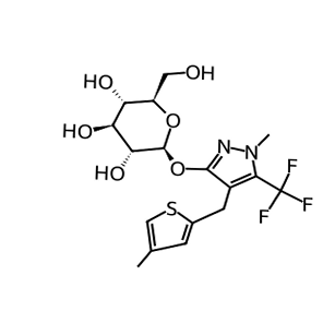 Cc1csc(Cc2c(O[C@@H]3O[C@H](CO)[C@@H](O)[C@H](O)[C@H]3O)nn(C)c2C(F)(F)F)c1